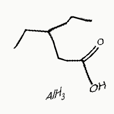 CCC(CC)CC(=O)O.[AlH3]